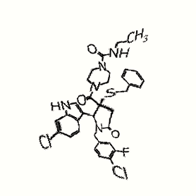 CCNC(=O)N1CCN(C(=O)[C@]2(SCc3ccccc3)CC(=O)N(Cc3ccc(Cl)c(F)c3)[C@H]2c2c[nH]c3cc(Cl)ccc23)CC1